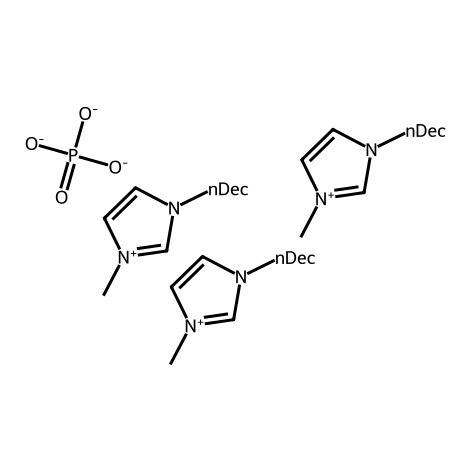 CCCCCCCCCCn1cc[n+](C)c1.CCCCCCCCCCn1cc[n+](C)c1.CCCCCCCCCCn1cc[n+](C)c1.O=P([O-])([O-])[O-]